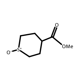 COC(=O)C1CC[S+]([O-])CC1